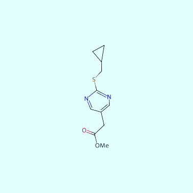 COC(=O)Cc1cnc(SCC2CC2)nc1